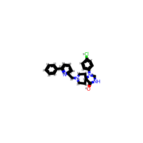 O=C1NCN(c2ccc(Cl)cc2)C12CCN(Cc1cccc(-c3ccccc3)n1)CC2